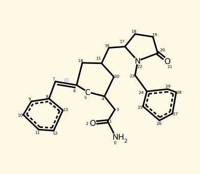 NC(=O)CC1C/C(=C\c2ccccc2)CC(CC2CCC(=O)N2Cc2ccccc2)C1